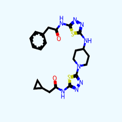 O=C(Cc1ccccc1)Nc1nnc(NC2CCN(c3nnc(NC(=O)CC4CC4)s3)CC2)s1